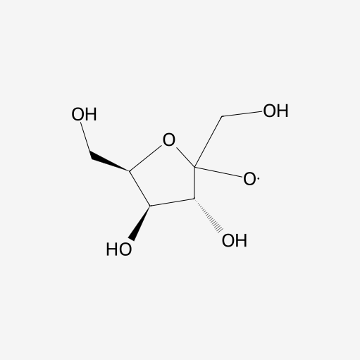 [O]C1(CO)O[C@H](CO)[C@H](O)[C@H]1O